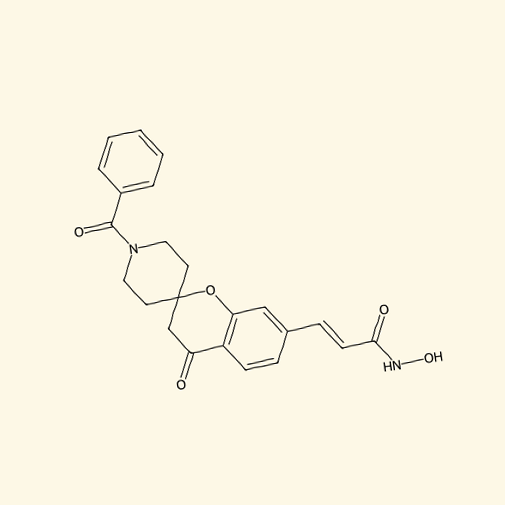 O=C(/C=C/c1ccc2c(c1)OC1(CCN(C(=O)c3ccccc3)CC1)CC2=O)NO